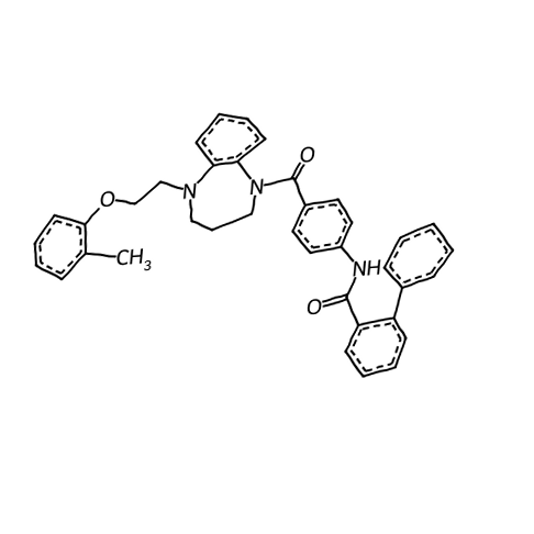 Cc1ccccc1OCCN1CCCN(C(=O)c2ccc(NC(=O)c3ccccc3-c3ccccc3)cc2)c2ccccc21